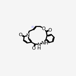 O=C1NNc2ccccc2C(=O)OC/C=C/Cn2cc1ccc2=O